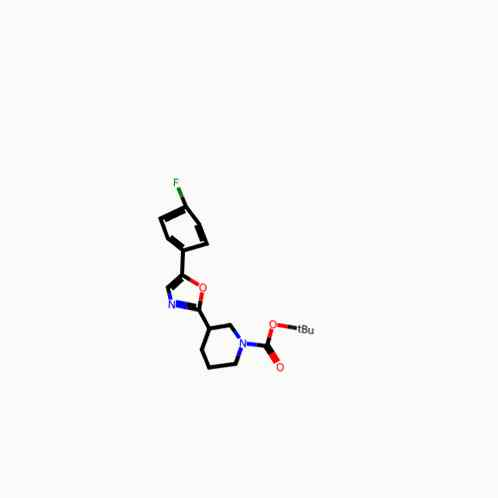 CC(C)(C)OC(=O)N1CCCC(c2ncc(-c3ccc(F)cc3)o2)C1